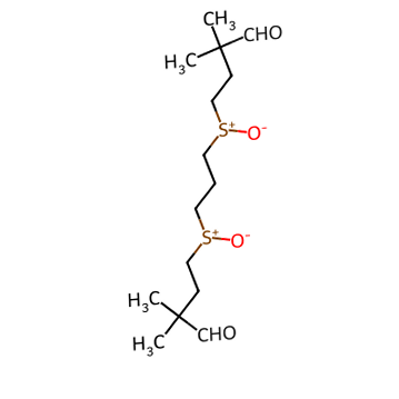 CC(C)(C=O)CC[S+]([O-])CCC[S+]([O-])CCC(C)(C)C=O